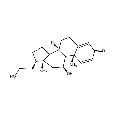 C[C@]12C=CC(=O)C=C1CC[C@@H]1C2[C@@H](O)C[C@@]2(C)C1CC[C@@H]2CCO